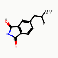 CC(Cc1ccc2c(c1)C(=O)NC2=O)C(=O)O